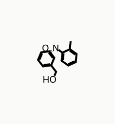 Cc1ccccc1[N+](=O)[O-].OCc1ccccc1